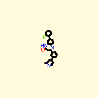 Cc1cc(-c2cccc(C3=Nc4ccc(-c5ccccc5F)cc4NC(=O)C3)c2)ccn1